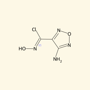 Nc1nonc1/C(Cl)=N/O